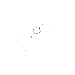 CCCCCCCCCCc1ccc(C(=O)N[C@H](C)CCNC)cc1